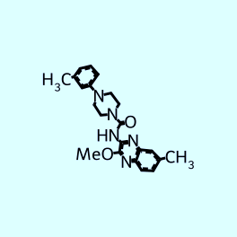 COc1nc2ccc(C)cc2nc1NC(=O)N1CCN(c2cccc(C)c2)CC1